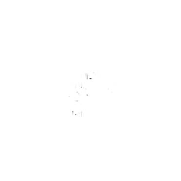 C[C@@H](N)c1ccc2[nH]c([C@@H](N[S@+]([O-])C(C)(C)C)C3CCC(F)(F)CC3)nc2c1